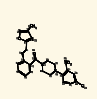 Cc1noc(CSc2ccccc2C(=O)N2CCN(c3ccc(Cl)cc3[N+](=O)[O-])CC2)n1